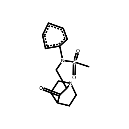 CS(=O)(=O)N(CC1C(=O)C2CCN1CC2)c1ccccc1